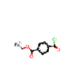 CC[C@H](C)COC(=O)c1ccc(C(=O)Cl)cc1